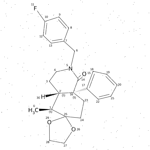 C[C@H]1[C@@H]2CCN(Cc3ccc(F)cc3)C(=O)[C@@]2(c2ccccc2)CCC12OCCO2